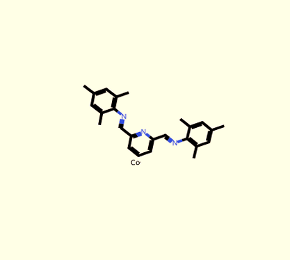 Cc1cc(C)c(N=Cc2cccc(C=Nc3c(C)cc(C)cc3C)n2)c(C)c1.[Co]